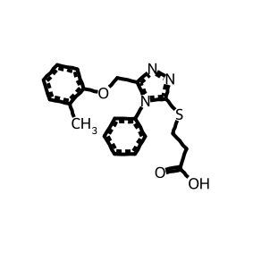 Cc1ccccc1OCc1nnc(SCCC(=O)O)n1-c1ccccc1